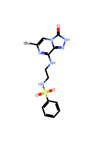 CC(C)(C)c1cn2c(=O)[nH]nc2c(NCCNS(=O)(=O)c2ccccc2)n1